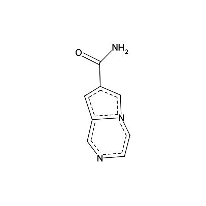 NC(=O)c1cc2cnccn2c1